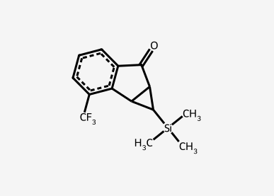 C[Si](C)(C)C1C2C(=O)c3cccc(C(F)(F)F)c3C21